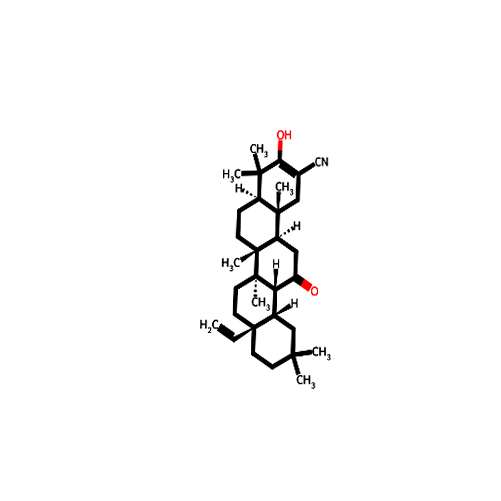 C=C[C@]12CCC(C)(C)C[C@H]1[C@H]1C(=O)C[C@@H]3[C@@]4(C)CC(C#N)=C(O)C(C)(C)[C@@H]4CC[C@@]3(C)[C@]1(C)CC2